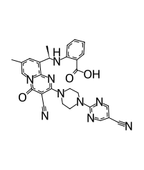 Cc1cc([C@@H](C)Nc2ccccc2C(=O)O)c2nc(N3CCN(c4ncc(C#N)cn4)CC3)c(C#N)c(=O)n2c1